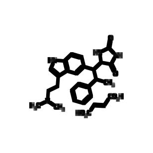 CC(c1ccccc1)C(c1ccc2[nH]cc(CCN(C)C)c2c1)C1NC(=O)NC1=O.O=C(O)C=CC(=O)O